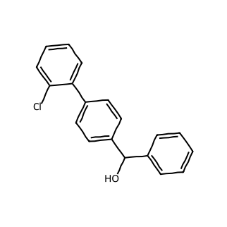 OC(c1ccccc1)c1ccc(-c2ccccc2Cl)cc1